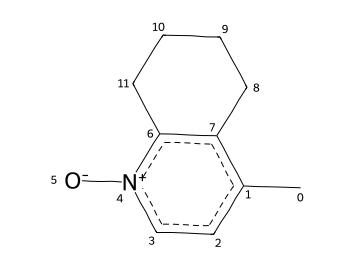 Cc1cc[n+]([O-])c2c1CCCC2